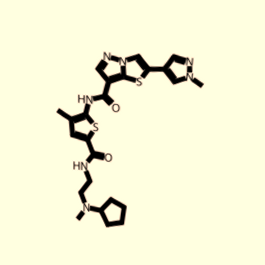 Cc1cc(C(=O)NCCN(C)C2CCCC2)sc1NC(=O)c1cnn2cc(-c3cnn(C)c3)sc12